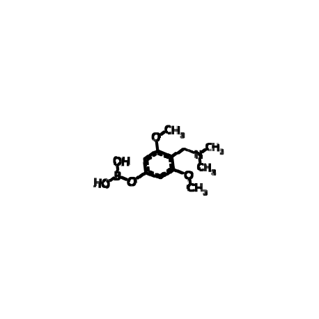 COc1cc(OB(O)O)cc(OC)c1CN(C)C